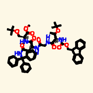 COC(=O)[C@H](COC(C)(C)C)NC(=O)[C@H](CC(=O)NC(c1ccccc1)(c1ccccc1)c1ccccc1)NC(=O)CNC(=O)[C@@H](NC(=O)OCC1c2ccccc2-c2ccccc21)C(C)OC(C)(C)C